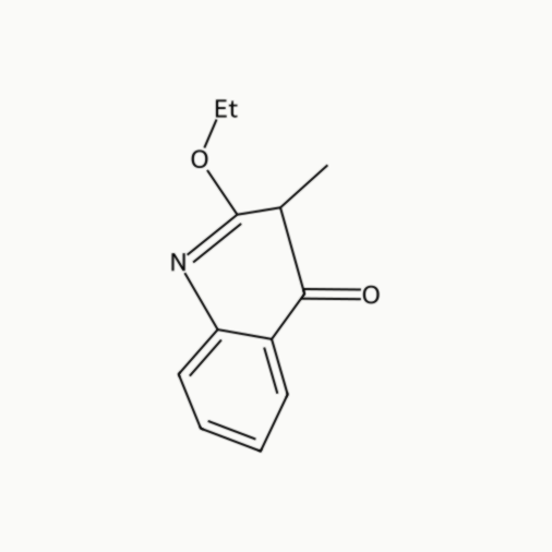 CCOC1=Nc2ccccc2C(=O)C1C